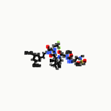 COc1cc(CCNC(=O)[C@H](CC(F)F)NC(=O)[C@@H]2[C@@H]3[C@H](CN2C(=O)[C@@H](NC(=O)N[C@H](CN(C)S(C)(=O)=O)C(C)(C)C)C(C)(C)C)C3(C)C)cc(OC)c1